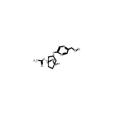 CCOCc1cnc(O[C@@H]2C[C@@H]3CC[C@@](OC(=O)C(F)(F)F)(C2)N3)cn1